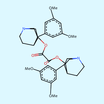 COc1cc(OC)cc(C2(OC(=O)C(=O)OC3(c4cc(OC)cc(OC)c4)CN4CCC3CC4)CN3CCC2CC3)c1